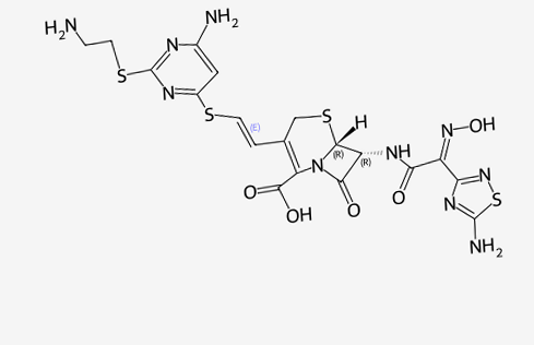 NCCSc1nc(N)cc(S/C=C/C2=C(C(=O)O)N3C(=O)[C@@H](NC(=O)C(=NO)c4nsc(N)n4)[C@H]3SC2)n1